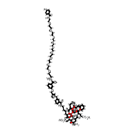 CC(=O)c1ccc(C(=O)NCCOCCOCCOCCOCCOCCOCCOCCOCCOCCNC(=O)c2cccc(OCc3cn(Cc4cccc(C(=O)NCCCCC(C(N)=O)N(C(=O)C(N)CC(C)C)C(=O)C(CC(C)C)NC(=O)C(Cc5ccccc5)NC(=O)C(CCC(=O)O)NC(=O)C(CC(N)=O)NC(=O)C(CC(=O)O)NC(=O)C(N)CCC(=O)O)c4)nn3)c2)cc1